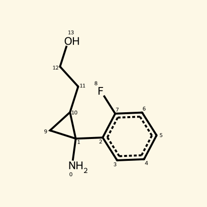 NC1(c2ccccc2F)CC1CCO